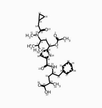 CC(=O)OC(CC(C(C)C)N(C)C(=O)CC1CC1)c1nc(C(=O)NC(Cc2ccccc2)CC(C)C(=O)O)cs1